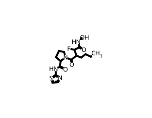 CCCCC(C(=O)N1CCCC1C(=O)Nc1nccs1)C(F)C(=O)NO